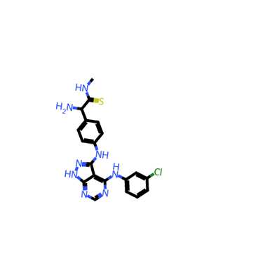 CNC(=S)C(N)c1ccc(Nc2n[nH]c3ncnc(Nc4cccc(Cl)c4)c23)cc1